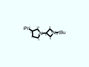 CC(C)C1CCN(C2CN(C(C)(C)C)C2)C1